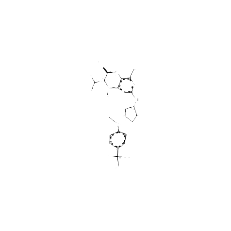 Cc1nc(N[C@H]2CC[C@H](N(C)c3ccc(C(F)(F)F)cc3)C2)nc2c1NC(=O)[C@H](C(C)C)N2C